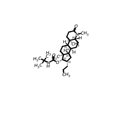 CCC[C@H]1C[C@H]2[C@@H]3CC[C@H]4N(C)C(=O)CC[C@]4(C)[C@H]3CC[C@]2(C)[C@H]1OC(=O)NC(C)(C)C